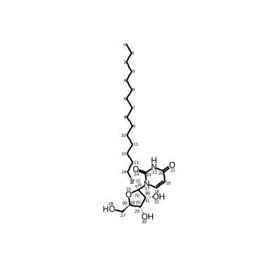 CCCCCCCCCCCCCC[CH2][Ir][C@@]1(n2ccc(=O)[nH]c2=O)O[C@H](CO)[C@@H](O)[C@H]1O